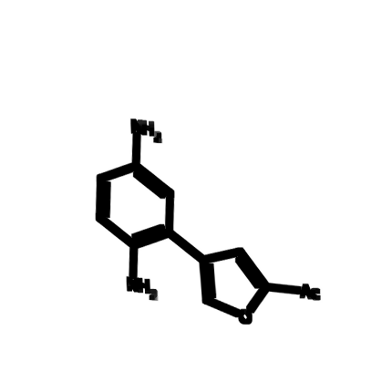 CC(=O)c1cc(-c2cc(N)ccc2N)co1